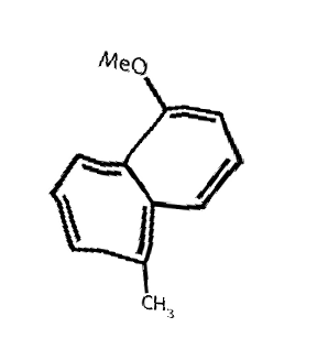 COc1cccc2c(C)cccc12